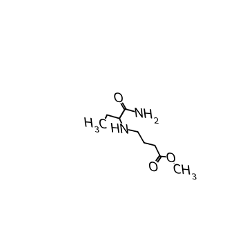 CCC(NCCCC(=O)OC)C(N)=O